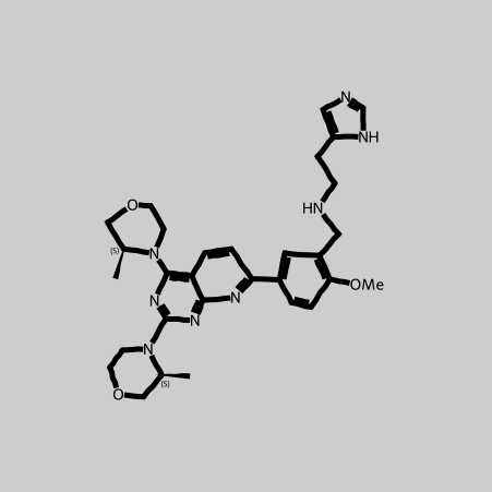 COc1ccc(-c2ccc3c(N4CCOC[C@@H]4C)nc(N4CCOC[C@@H]4C)nc3n2)cc1CNCCc1cnc[nH]1